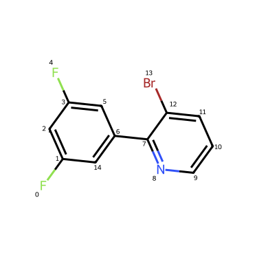 Fc1[c]c(F)cc(-c2ncccc2Br)c1